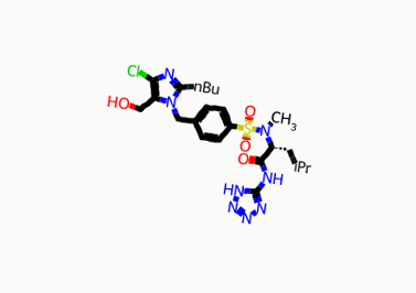 CCCCc1nc(Cl)c(CO)n1Cc1ccc(S(=O)(=O)N(C)[C@H](CC(C)C)C(=O)Nc2nnn[nH]2)cc1